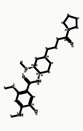 CNc1cc(OC)c(C(=O)N[C@H]2CCN(CCCC(=O)N3CCCC3)C[C@H]2OC)cc1Cl